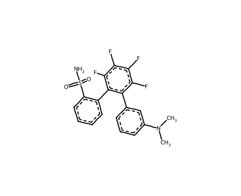 CN(C)c1cccc(-c2c(F)c(F)c(F)c(F)c2-c2ccccc2S(N)(=O)=O)c1